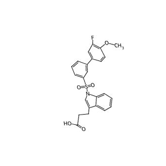 COc1ccc(-c2cccc(S(=O)(=O)n3cc(CCC(=O)O)c4ccccc43)c2)cc1F